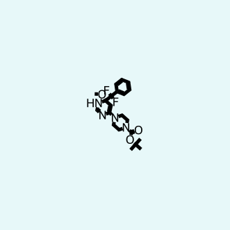 COC1(C(F)(F)c2ccccc2)C=C(N2CCN(C(=O)OC(C)(C)C)CC2)N=CN1